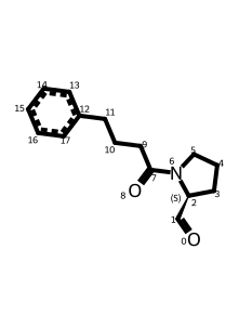 O=C[C@@H]1CCCN1C(=O)CCCc1ccccc1